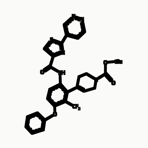 CC(C)(C)OC(=O)N1CC=C(c2c(NC(=O)c3csc(-c4ccnnc4)n3)ccc(Oc3ccccc3)c2C(F)(F)F)CC1